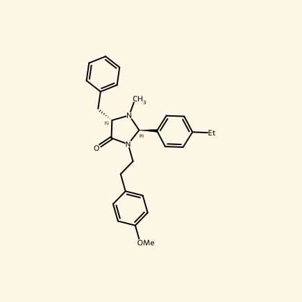 CCc1ccc([C@H]2N(CCc3ccc(OC)cc3)C(=O)[C@H](Cc3ccccc3)N2C)cc1